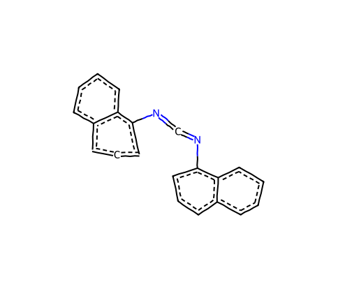 C(=Nc1cccc2ccccc12)=Nc1cccc2ccccc12